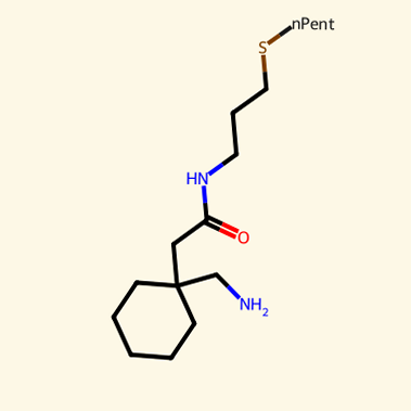 CCCCCSCCCNC(=O)CC1(CN)CCCCC1